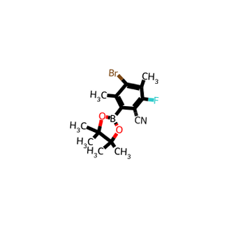 Cc1c(F)c(C#N)c(B2OC(C)(C)C(C)(C)O2)c(C)c1Br